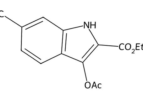 CCOC(=O)c1[nH]c2cc(C#N)ccc2c1OC(C)=O